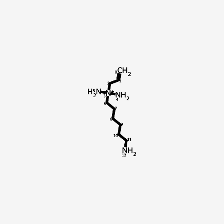 C=CC[N+](N)(N)CCCCCCN